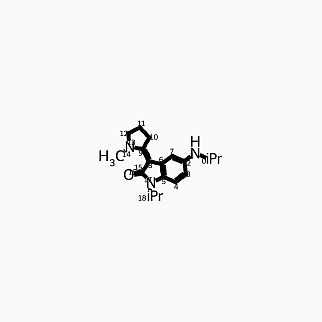 CC(C)Nc1ccc2c(c1)/C(=C1\CCCN1C)C(=O)N2C(C)C